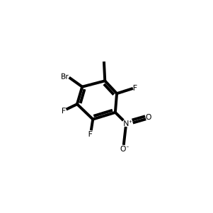 Cc1c(F)c([N+](=O)[O-])c(F)c(F)c1Br